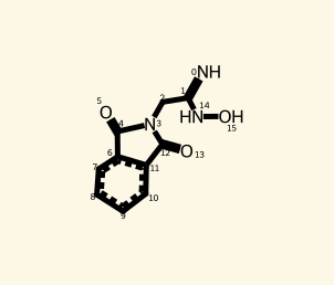 N=C(CN1C(=O)c2ccccc2C1=O)NO